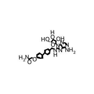 NC(=O)COc1ccc(-c2ccc(CNc3nc4c(N)ncnc4n3[C@@H]3O[C@H](CO)[C@@H](O)[C@H]3O)cc2)cc1